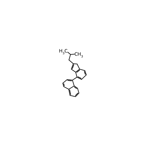 CC(C)CC1=Cc2c(cccc2-c2cccc3ccccc23)C1